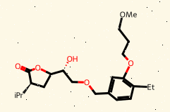 CCc1ccc(COC[C@@H](O)C2C[C@@H](C(C)C)C(=O)O2)cc1OCCCOC